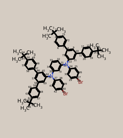 CC(C)(C)c1ccc(-c2cc(-c3ccc(C(C)(C)C)cc3)cc(N(c3ccc(Br)cc3)c3cccc(N(c4ccc(Br)cc4)c4cc(-c5ccc(C(C)(C)C)cc5)cc(-c5ccc(C(C)(C)C)cc5)c4)c3)c2)cc1